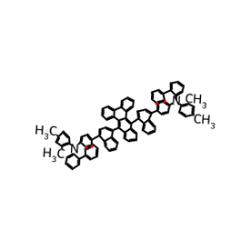 Cc1ccc(N(c2ccc(-c3ccc(-c4c5ccccc5c(-c5ccc(-c6ccc(N(c7ccc(C)cc7C)c7ccccc7-c7ccccc7)cc6)c6ccccc56)c5c6ccccc6c6ccccc6c45)c4ccccc34)cc2)c2ccccc2-c2ccccc2)c(C)c1